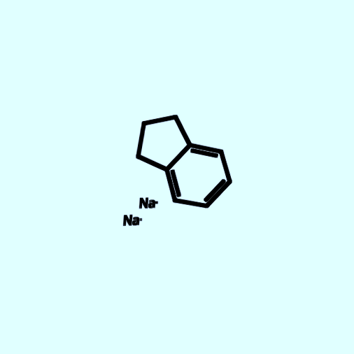 [Na].[Na].c1ccc2c(c1)CCC2